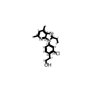 CCc1nc2c(C)cc(C)nc2n1-c1ccc(CCO)c(Cl)c1